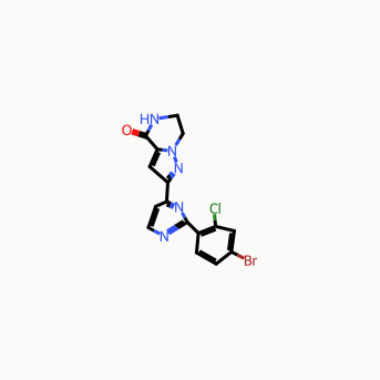 O=C1NCCn2nc(-c3ccnc(-c4ccc(Br)cc4Cl)n3)cc21